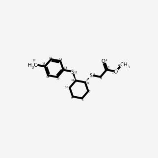 COC(=O)CS[C@@H]1CCCC[C@H]1Sc1ccc(C)cc1